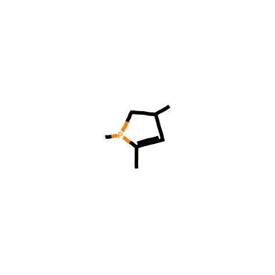 CC1=CC(C)CP1C